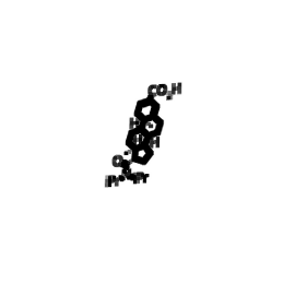 CC(C)N(C(=O)[C@H]1CC[C@H]2[C@@H]3CCC4=CC(C(=O)O)=CC[C@]4(C)[C@H]3CC[C@]12C)C(C)C